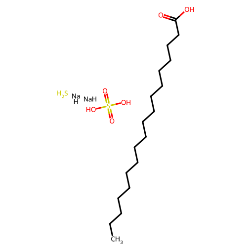 CCCCCCCCCCCCCCCCCC(=O)O.O=S(=O)(O)O.S.[NaH].[NaH]